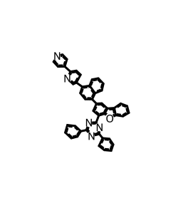 c1ccc(-c2nc(-c3ccccc3)nc(-c3cc(-c4ccc(-c5ccc(-c6ccncc6)nc5)c5ccccc45)cc4c3oc3ccccc34)n2)cc1